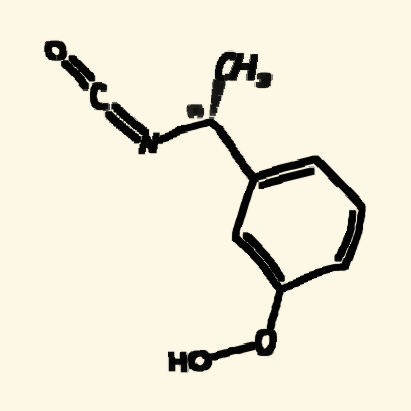 C[C@@H](N=C=O)c1cccc(OO)c1